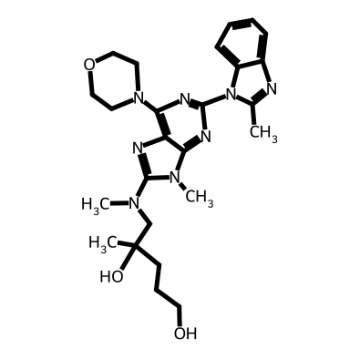 Cc1nc2ccccc2n1-c1nc(N2CCOCC2)c2nc(N(C)CC(C)(O)CCCO)n(C)c2n1